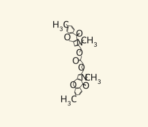 Cc1ccc2c(c1)OCc1cc(COCC(=O)COCc3cc4c(n3C)C(=O)c3ccc(C)cc3OC4)n(C)c1C2=O